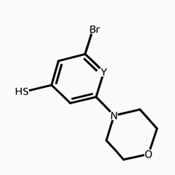 SC1=C[C](Br)=[Y][C](N2CCOCC2)=C1